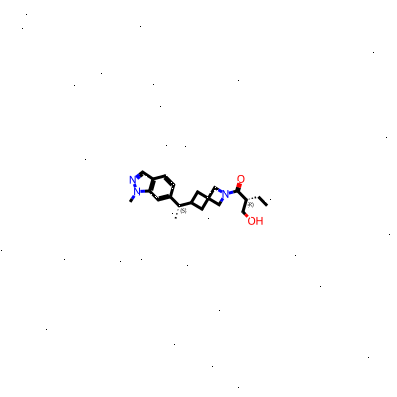 CC[C@H](CO)C(=O)N1CC2(CC([C@H](C)c3ccc4cnn(C)c4c3)C2)C1